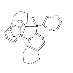 O=P(c1ccccc1)(c1ccccc1)c1ccc2c(c1-c1cccc3c1CCCC3)CCCC2